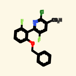 O=C(O)c1cc(F)c(-c2c(F)cccc2OCc2ccccc2)nc1Cl